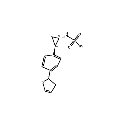 CC(C)S(=O)(=O)N[C@H]1C[C@@H]1c1ccc(C2CC=CS2)cc1